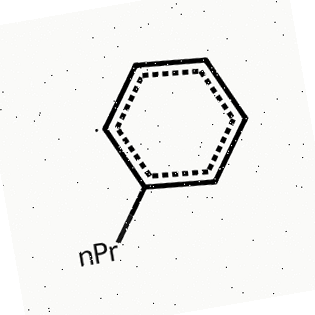 [CH2]CCc1[c]cccc1